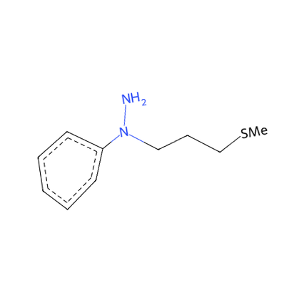 CSCCCN(N)c1ccccc1